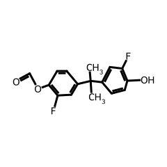 CC(C)(c1ccc(O)c(F)c1)c1ccc(OC=O)c(F)c1